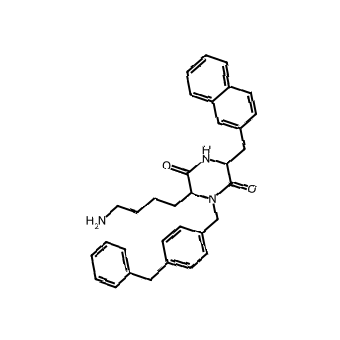 NCCCCC1C(=O)NC(Cc2ccc3ccccc3c2)C(=O)N1Cc1ccc(Cc2ccccc2)cc1